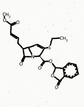 CCSC1=CC2C(CC=CC(=O)OC)C(=O)N2[C@@H]1C(=O)OC1OC(=O)c2ccccc21